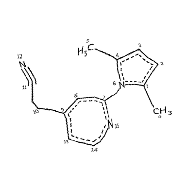 Cc1ccc(C)n1-c1cc(CC#N)ccn1